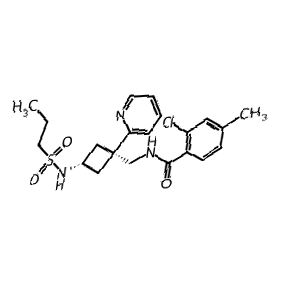 CCCS(=O)(=O)N[C@H]1C[C@](CNC(=O)c2ccc(C)cc2Cl)(c2ccccn2)C1